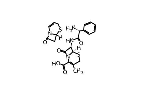 CC1=C(C(=O)O)N2C(=O)[C@@H](NC(=O)[C@H](N)c3ccccc3)[C@H]2SC1.O=C1C[C@H]2SCC=CN12